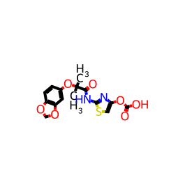 CC(C)(Oc1ccc2c(c1)OCO2)C(=O)Nc1nc(OC(=O)O)cs1